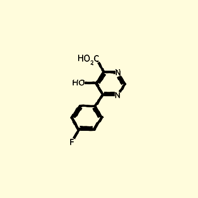 O=C(O)c1ncnc(-c2ccc(F)cc2)c1O